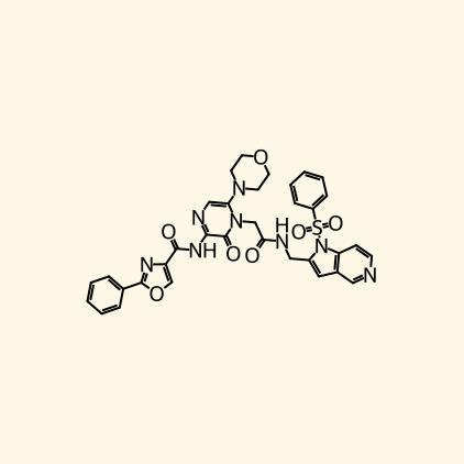 O=C(Cn1c(N2CCOCC2)cnc(NC(=O)c2coc(-c3ccccc3)n2)c1=O)NCc1cc2cnccc2n1S(=O)(=O)c1ccccc1